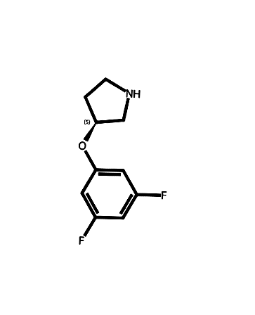 Fc1cc(F)cc(O[C@H]2CCNC2)c1